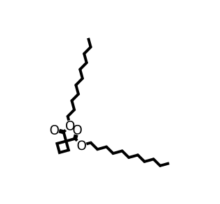 CCCCCCCCCCCOC(=O)C1(C(=O)OCCCCCCCCCCC)CCC1